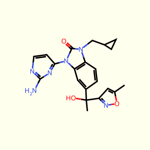 Cc1cc(C(C)(O)c2ccc3c(c2)n(-c2ccnc(N)n2)c(=O)n3CC2CC2)no1